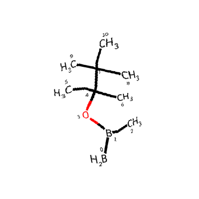 BB(C)OC(C)(C)C(C)(C)C